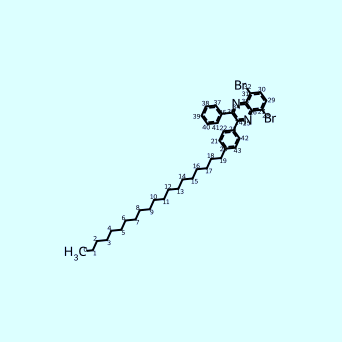 CCCCCCCCCCCCCCCCCCCCc1ccc(-c2nc3c(Br)ccc(Br)c3nc2-c2ccccc2)cc1